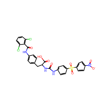 O=C(Nc1ccc(S(=O)(=O)c2ccc([N+](=O)[O-])cc2)cc1)NC(Cc1ccc(NC(=O)c2c(Cl)cccc2Cl)cc1)C(=O)O